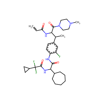 C=CC(=O)NC(C(=O)N1CCN(C)CC1)C(C)c1ccc(NC(=O)C(NC(=O)C(F)(F)C2CC2)C2CCCCCC2)c(F)c1